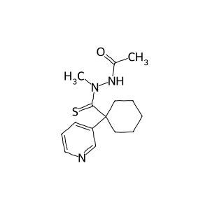 CC(=O)NN(C)C(=S)C1(c2cccnc2)CCCCC1